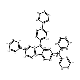 c1ccc(-c2ccc(-n3c4cc(-c5ccccc5)ccc4c4ccc(N(c5ccccc5)c5ccccc5)cc43)cc2)cc1